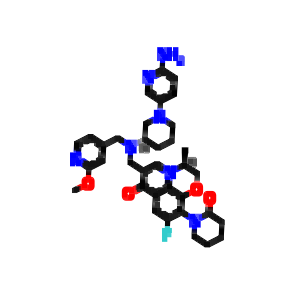 COc1cc(CN(Cc2cn3c4c(c(N5CCCCC5=O)c(F)cc4c2=O)OC[C@@H]3C)[C@H]2CCCN(c3ccc(N)nc3)C2)ccn1